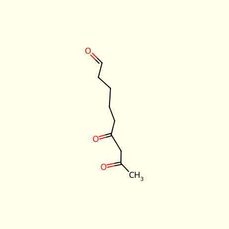 CC(=O)CC(=O)CCCCC=O